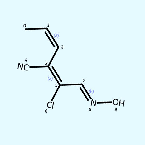 C\C=C/C(C#N)=C(Cl)\C=N\O